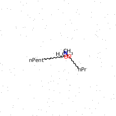 CCCC=CCCCCCCCOC(CN(C)C)OCCCCCCCCC=CCC=CCCCCC